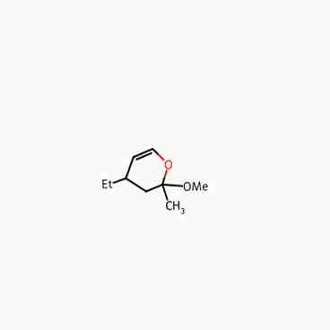 CCC1C=COC(C)(OC)C1